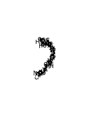 N#Cc1ccc(OC2CC(C(=O)Nc3ccc(N4CCC(CN5CCN(c6ccc7c(c6)C(O)N(C6CCC(=O)NC6=O)C7=O)CC5)CC4)nn3)C2)cc1Cl